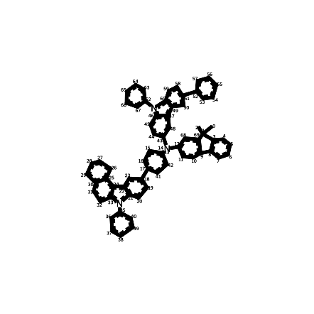 CC1(C)c2ccccc2-c2ccc(N(c3ccc(-c4ccc5c(c4)c4c6ccccc6ccc4n5-c4ccccc4)cc3)c3ccc4c(c3)c3cc(-c5ccccc5)ccc3n4-c3ccccc3)cc21